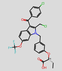 CC[C@@H](Oc1cccc(Cn2c(CCl)c(C(=O)c3ccc(Cl)cc3)c3ccc(OC(F)(F)F)cc32)c1)C(=O)O